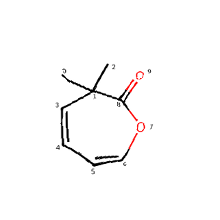 CC1(C)C=CC=COC1=O